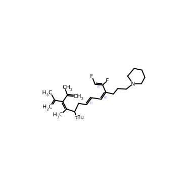 C=C(C)C(C(=C)C)=C(C)C(C/C=C/C=C(CCCN1CCCCC1)\C(F)=C\F)C(C)(C)C